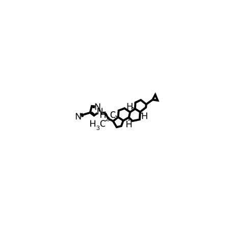 C[C@H](Cn1cc(C#N)cn1)C1CCC2[C@@H]3CC[C@@H]4CC(C5CC5)CC[C@@H]4C3CC[C@@]21C